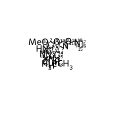 COc1cc(Oc2ccnc(OCCN3CCCCC3)c2)ccc1Nc1ncc(Cl)c(Nc2ccccc2P(C)C)n1